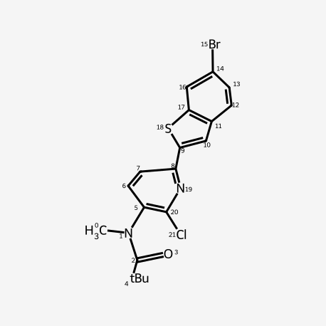 CN(C(=O)C(C)(C)C)c1ccc(-c2cc3ccc(Br)cc3s2)nc1Cl